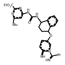 CCOC(=O)c1nc(NC(=O)NC2CCC(Oc3ccc(=N)n(C(=N)C(C)C)c3)c3ccccc32)cc(C(C)(C)C)n1